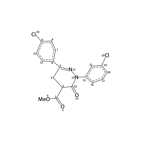 COC(=O)C1CC(c2ccc(Cl)cc2)=NN(c2cccc(Cl)c2)C1=O